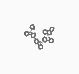 c1ccc(-n2c3ccccc3c3cc(-c4ccc5c6ccccc6n(-c6ccc7c(c6)c6ccccc6n7-c6cc7ccccc7c7ccccc67)c5c4)ccc32)cc1